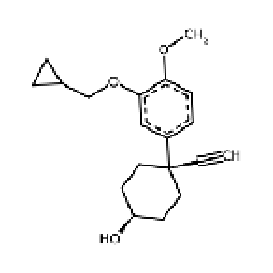 C#C[C@]1(c2ccc(OC)c(OCC3CC3)c2)CC[C@H](O)CC1